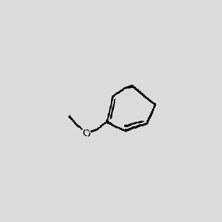 COC1=CCCC=C1